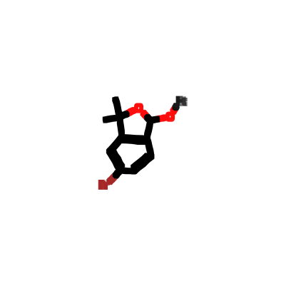 CCOC1OC(C)(C)c2cc(Br)ccc21